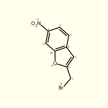 O=[N+]([O-])c1ccc2cc(CBr)oc2c1